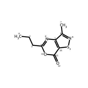 CCCc1nc2c(C)nsc2c(=O)o1